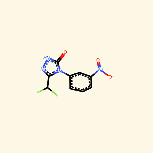 O=c1[nH]nc(C(F)F)n1-c1cccc([N+](=O)[O-])c1